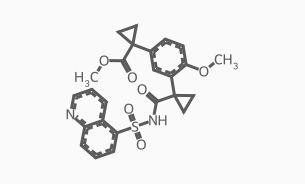 COC(=O)C1(c2ccc(OC)c(C3(C(=O)NS(=O)(=O)c4cccc5ncccc45)CC3)c2)CC1